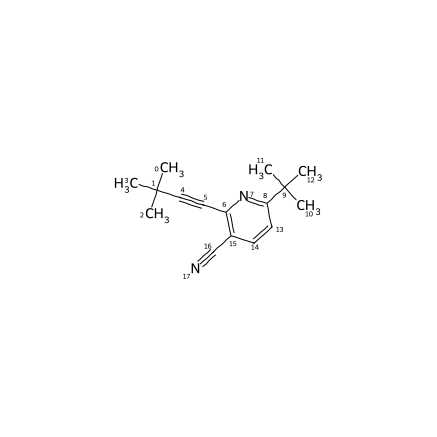 CC(C)(C)C#Cc1nc(C(C)(C)C)ccc1C#N